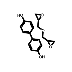 C(OCC1CO1)C1CO1.Oc1ccc(-c2ccc(O)cc2)cc1